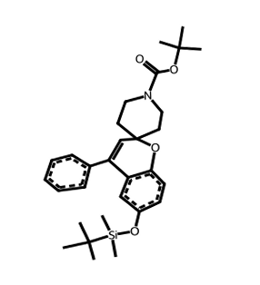 CC(C)(C)OC(=O)N1CCC2(C=C(c3ccccc3)c3cc(O[Si](C)(C)C(C)(C)C)ccc3O2)CC1